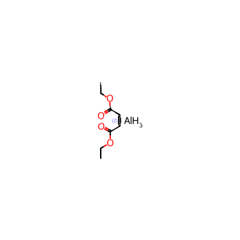 CCOC(=O)/C=C\C(=O)OCC.[AlH3]